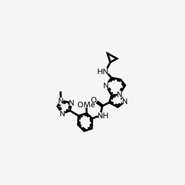 COc1c(NC(=O)c2cnn3ccc(NC4CC4)nc23)cccc1-c1ncn(C)n1